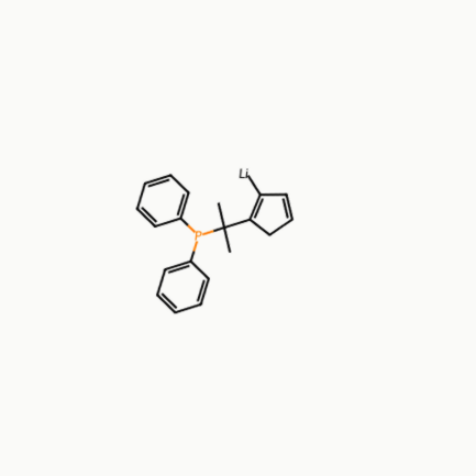 [Li][C]1=C(C(C)(C)P(c2ccccc2)c2ccccc2)CC=C1